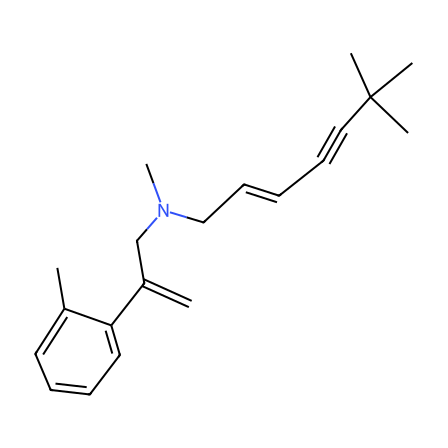 C=C(CN(C)C/C=C/C#CC(C)(C)C)c1ccccc1C